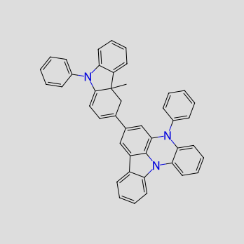 CC12CC(c3cc4c5c(c3)c3ccccc3n5-c3ccccc3N4c3ccccc3)=CC=C1N(c1ccccc1)c1ccccc12